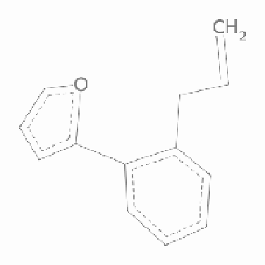 C=CCc1ccccc1-c1ccco1